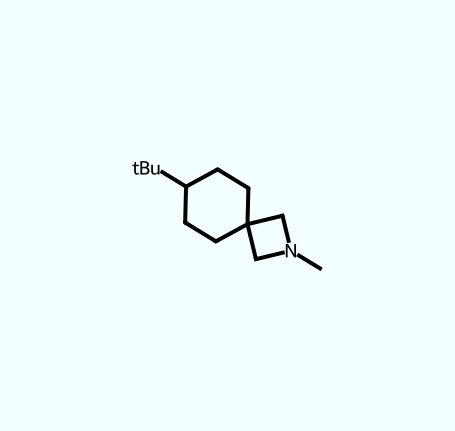 CN1CC2(CCC(C(C)(C)C)CC2)C1